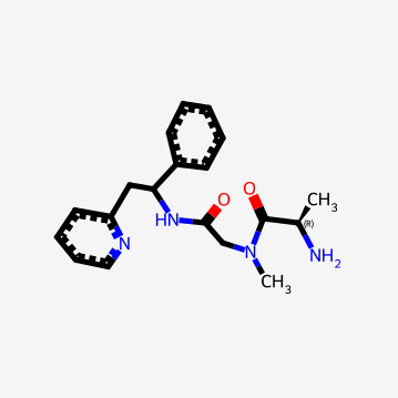 C[C@@H](N)C(=O)N(C)CC(=O)NC(Cc1ccccn1)c1ccccc1